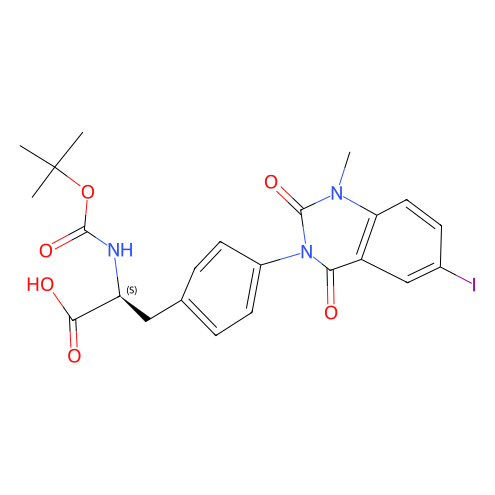 Cn1c(=O)n(-c2ccc(C[C@H](NC(=O)OC(C)(C)C)C(=O)O)cc2)c(=O)c2cc(I)ccc21